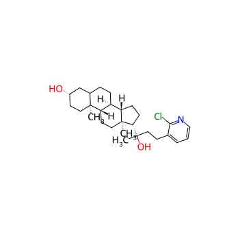 CC(O)(CCc1cccnc1Cl)[C@H]1CC[C@H]2[C@@H]3CCC4C[C@@H](O)CC[C@]4(C)[C@H]3CC[C@]12C